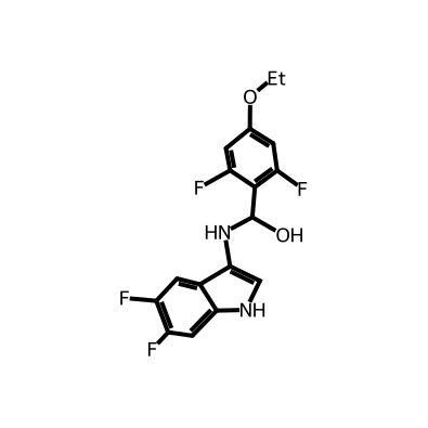 CCOc1cc(F)c(C(O)Nc2c[nH]c3cc(F)c(F)cc23)c(F)c1